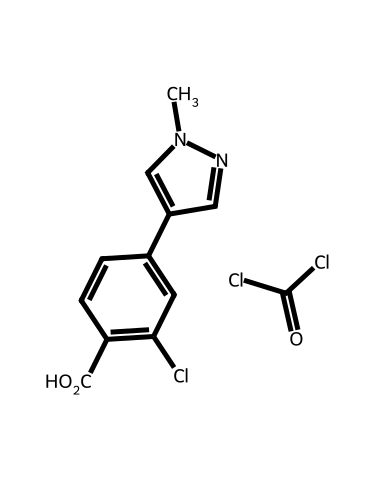 Cn1cc(-c2ccc(C(=O)O)c(Cl)c2)cn1.O=C(Cl)Cl